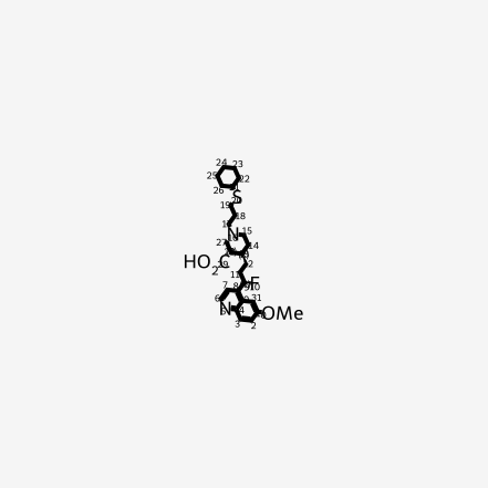 COc1ccc2nccc([C@H](F)CC[C@@H]3CCN(CCCSC4CCCCC4)C[C@@H]3C(=O)O)c2c1